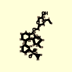 CCN1CC(COn2c3cccc(-c4cccc(S(=O)(=O)C5CC5)c4)c3c3cc(C)cnc32)OC[C@H]1O